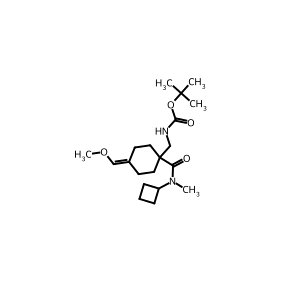 COC=C1CCC(CNC(=O)OC(C)(C)C)(C(=O)N(C)C2CCC2)CC1